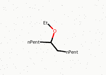 CCCCCCC(CCCCC)OCC